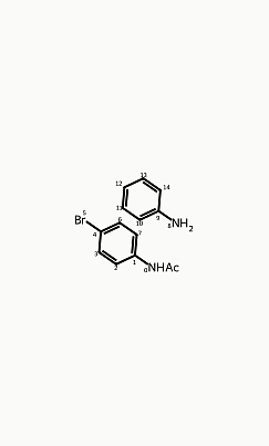 CC(=O)Nc1ccc(Br)cc1.Nc1ccccc1